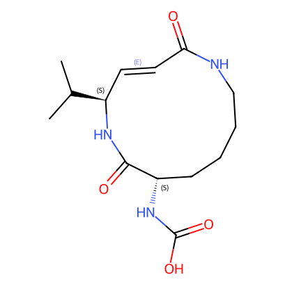 CC(C)[C@H]1/C=C/C(=O)NCCCC[C@H](NC(=O)O)C(=O)N1